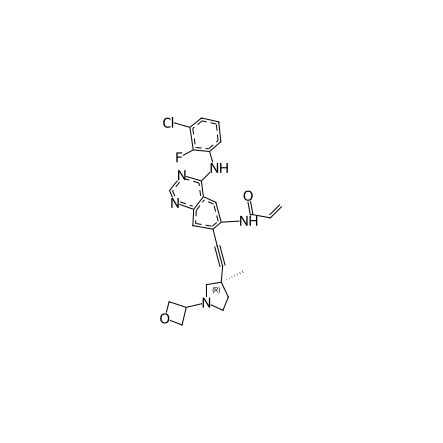 C=CC(=O)Nc1cc2c(Nc3cccc(Cl)c3F)ncnc2cc1C#C[C@@]1(C)CCN(C2COC2)C1